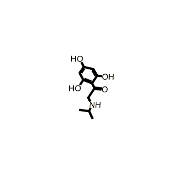 CC(C)NCC(=O)c1c(O)cc(O)cc1O